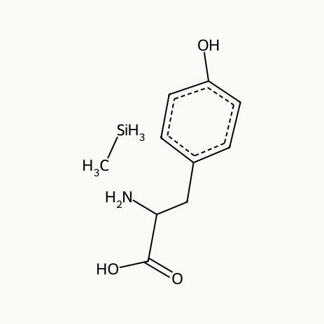 C[SiH3].NC(Cc1ccc(O)cc1)C(=O)O